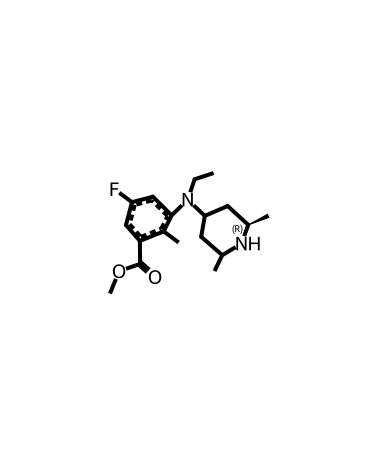 CCN(c1cc(F)cc(C(=O)OC)c1C)C1CC(C)N[C@H](C)C1